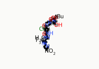 Cn1c(-c2cn(-c3ccc([N+](=O)[O-])cn3)nc2C(F)(F)F)cnc1C(=O)Nc1ccc(C(=O)N2CCN(C(=O)[C@@H]3C[C@@H](O)CN3C(=O)OC(C)(C)C)CC2)c(Cl)c1